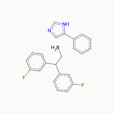 BCC(c1cccc(F)c1)c1cccc(F)c1.c1ccc(-c2cnc[nH]2)cc1